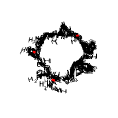 CCCC[C@H]1C(=O)N([13CH3])[C@@H](CCCC)C(=O)N[C@@H](CCCNC(=N)N)C(=O)N[C@H](C(=O)NCC(N)=O)CSCC(=O)N[C@@H](Cc2ccc(O)cc2)C(=O)N(C)[C@@H](C)C(=O)N[C@@H](CC(N)=O)C(=O)N2CCC[C@H]2C(=O)N[C@@H](Cc2cnc[nH]2)C(=O)N[C@@H](CC(C)C)C(=O)N2CCC[C@H]2C(=O)N[C@@H](Cc2c[nH]c3ccccc23)C(=O)N[C@@H](CO)C(=O)N[C@@H](Cc2csc3ccccc23)C(=O)N1C